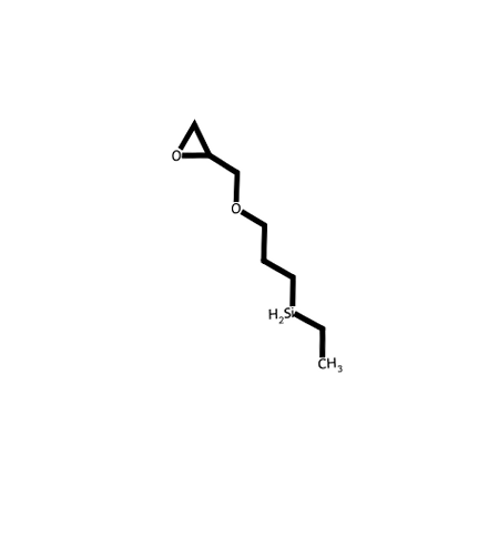 CC[SiH2]CCCOCC1CO1